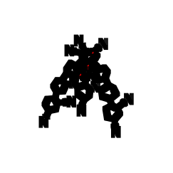 Cc1cccc(-c2c(-n3c4cc(-c5ccc(C#N)cc5C#N)ccc4c4ccc(-c5ccc(C#N)cc5C#N)cc43)cc(C#N)cc2-n2c3cc(-c4ccc(C#N)cc4C#N)ccc3c3ccc(-c4ccc(C#N)cc4C#N)cc32)n1